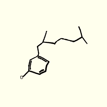 CC(C)C[CH]CC(C)Cc1cccc(Cl)c1